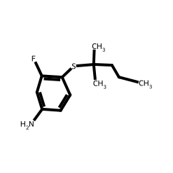 CCCC(C)(C)Sc1ccc(N)cc1F